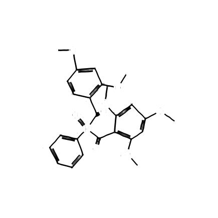 COc1ccc(C(=O)P(=O)(C(=O)c2c(OC)cc(OC)cc2OC)c2ccccc2)c(OC)c1